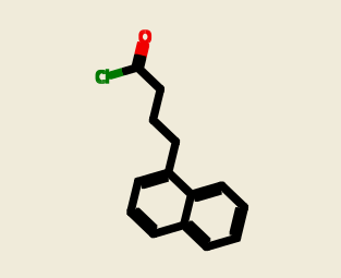 O=C(Cl)CCCc1cccc2ccccc12